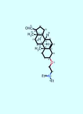 CCN(CC)CCO[C@H]1CC[C@@]2(C)C(=CC[C@@H]3[C@@H]2CC[C@]2(C)C(C=O)CC[C@@H]32)C1